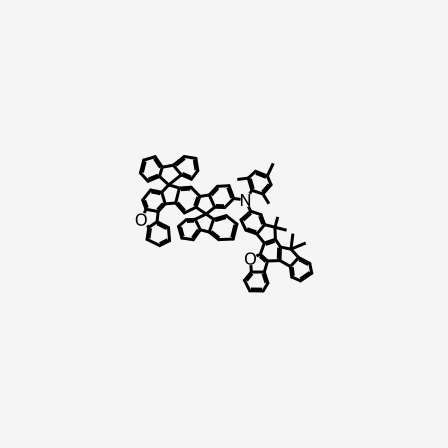 Cc1cc(C)c(N(c2ccc3c(c2)C(C)(C)c2c4c(c5c(oc6ccccc65)c2-3)-c2ccccc2C4(C)C)c2ccc3c(c2)C2(c4ccccc4-c4ccccc42)c2cc4c(cc2-3)C2(c3ccccc3-c3ccccc32)c2ccc3oc5ccccc5c3c2-4)c(C)c1